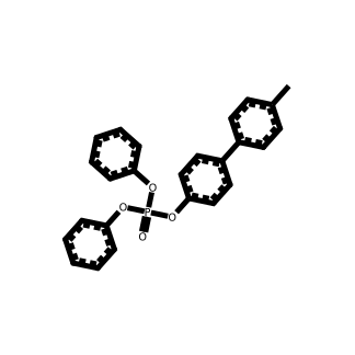 Cc1ccc(-c2ccc(OP(=O)(Oc3ccccc3)Oc3ccccc3)cc2)cc1